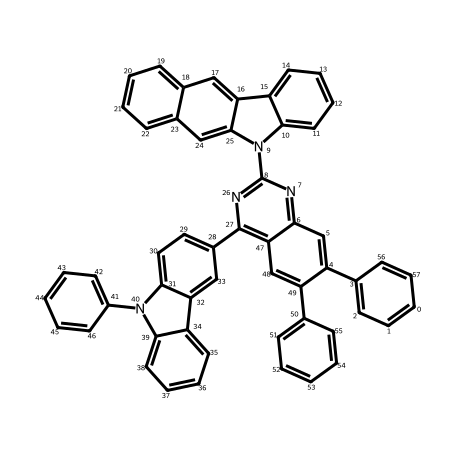 c1ccc(-c2cc3nc(-n4c5ccccc5c5cc6ccccc6cc54)nc(-c4ccc5c(c4)c4ccccc4n5-c4ccccc4)c3cc2-c2ccccc2)cc1